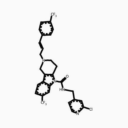 O=C(NCc1ccnc(Cl)c1)n1c2c(c3ccc(C(F)(F)F)cc31)CN(C/C=C/c1ccc(C(F)(F)F)cc1)CC2